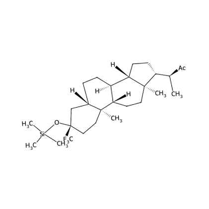 CC(=O)[C@@H](C)[C@H]1CC[C@H]2[C@@H]3CC[C@H]4C[C@](O[Si](C)(C)C)(C(F)(F)F)CC[C@]4(C)[C@H]3CC[C@]12C